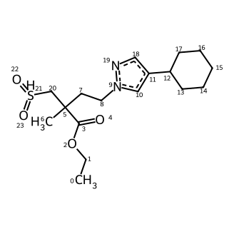 CCOC(=O)C(C)(CCn1cc(C2CCCCC2)cn1)C[SH](=O)=O